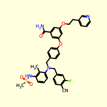 Cc1c(NS(C)(=O)=O)cccc1N(Cc1ccc(Oc2cc(OCCc3cccnc3)cc(C(N)=O)c2)cc1)Cc1ccc(C#N)c(F)c1